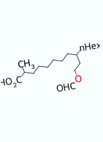 CCCCCCC(CCCCCCC(C)C(=O)O)CCOC=O